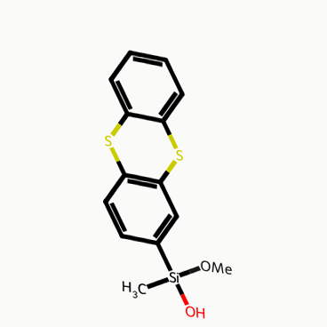 CO[Si](C)(O)c1ccc2c(c1)Sc1ccccc1S2